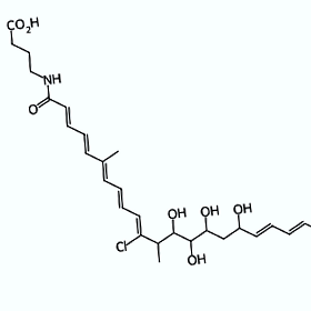 CC(/C=C/C=C/C(=O)NCCCC(=O)O)=C\C=C\C=C(/Cl)C(C)C(O)C(O)C(O)CC(O)/C=C/C=C/C(C)C